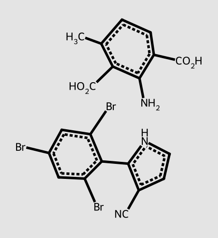 Cc1ccc(C(=O)O)c(N)c1C(=O)O.N#Cc1cc[nH]c1-c1c(Br)cc(Br)cc1Br